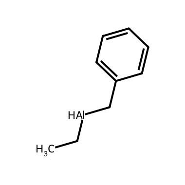 C[CH2][AlH][CH2]c1ccccc1